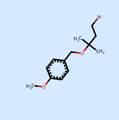 COc1ccc(COC(C)(C)CCBr)cc1